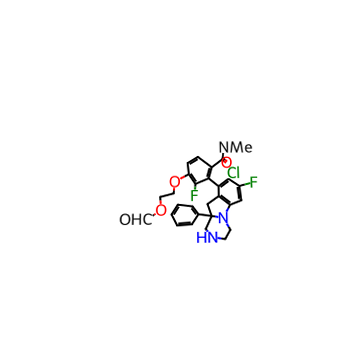 CNC(=O)c1ccc(OCCOC=O)c(F)c1-c1c(Cl)c(F)cc2c1CC1(c3ccccc3)CNCCN21